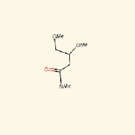 CNC(=O)CC(COC)OC